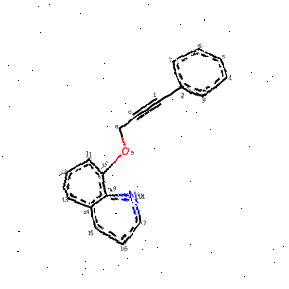 C(#Cc1ccccc1)COc1cccc2cccnc12